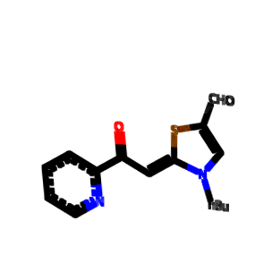 CCCCN1C=C(C=O)S/C1=C\C(=O)c1ccccn1